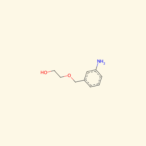 Nc1cccc(COCCO)c1